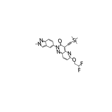 Cn1cc2cc(-n3nc4ccc(OCC(F)F)nc4c(C#C[Si](C)(C)C)c3=O)ccc2n1